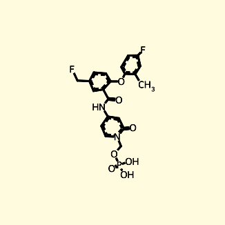 Cc1cc(F)ccc1Oc1ccc(CF)cc1C(=O)Nc1ccn(COP(=O)(O)O)c(=O)c1